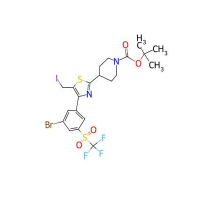 CC(C)(C)OC(=O)N1CCC(c2nc(-c3cc(Br)cc(S(=O)(=O)C(F)(F)F)c3)c(CI)s2)CC1